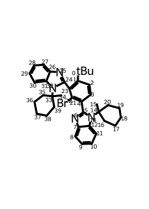 CC(C)(C)c1ccc(-c2nc3ccccc3n2C2(C)CCCCC2)c(Br)c1-c1nc2ccccc2n1C1(C)CCCCC1